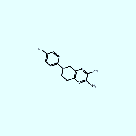 N#Cc1ccc(N2CCc3nc(N)c(C#N)nc3C2)cc1